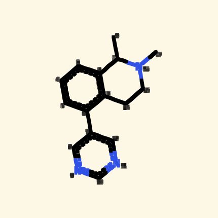 CC1c2cccc(-c3cncnc3)c2CCN1C